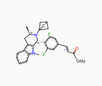 COC(=O)/C=C/c1cc(F)c([C@@H]2c3c(c4ccccc4n3C)C[C@@H](C)N2C23CC(C2)C3)c(F)c1